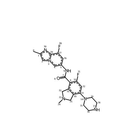 Cc1cn2cc(NC(=O)c3c(F)cc(N4CCNCC4)c4c3CN(C)C4)cc(F)c2n1